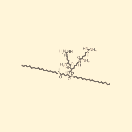 CCCCCCCC/C=C/CCCCCCCCNC(=O)CCC(NC(=O)C(CCCCNC(=O)C(N)CCCNC(=N)N)NC(=O)C(N)CCCNC(=N)N)C(=O)NCCCCCCCC/C=C/CCCCCCCC